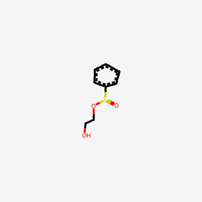 O=S(OCCO)c1ccccc1